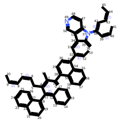 C=C(/C(C)=C(C/C=C\C=C/C)\C(=C1\C=CC=CC1)c1cccc2ccccc12)c1ccc(C(/C=c2\c(=C)n(C(/C=C\C)=C/C=C\C)c3ccncc23)=C/C)c2ccccc12